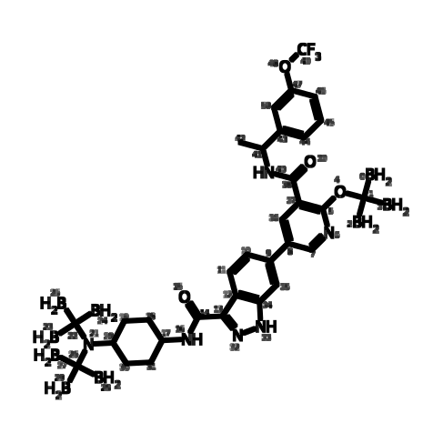 BC(B)(B)Oc1ncc(-c2ccc3c(C(=O)NC4CCC(N(C(B)(B)B)C(B)(B)B)CC4)n[nH]c3c2)cc1C(=O)NC(C)c1cccc(OC(F)(F)F)c1